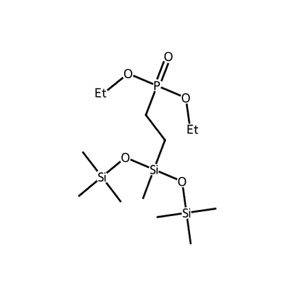 CCOP(=O)(CC[Si](C)(O[Si](C)(C)C)O[Si](C)(C)C)OCC